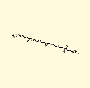 CCCCCCN(F)COCCOCCN(F)COCCOCCNC(=O)CCCC